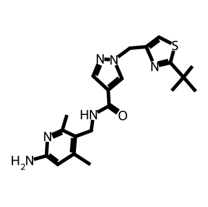 Cc1cc(N)nc(C)c1CNC(=O)c1cnn(Cc2csc(C(C)(C)C)n2)c1